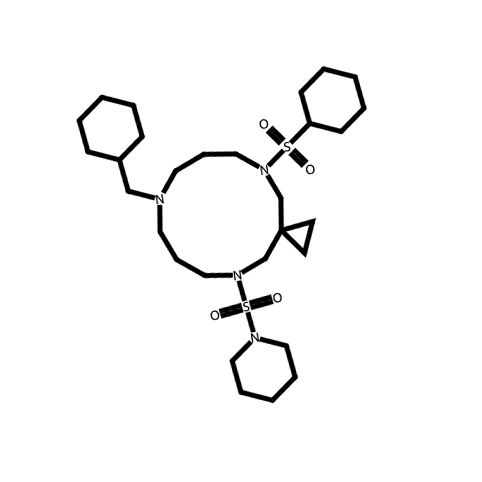 O=S(=O)(C1CCCCC1)N1CCCN(CC2CCCCC2)CCCN(S(=O)(=O)N2CCCCC2)CC2(CC2)C1